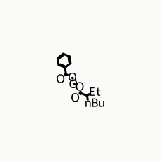 CCCCC(CC)C(=O)OOOC(=O)c1ccccc1